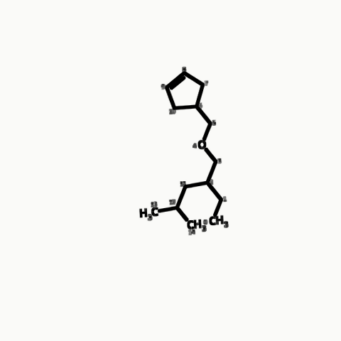 CCC(COCC1CC=CC1)CC(C)C